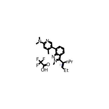 CC/C=C(\CCC)c1c2cccc(-c3cnc(N(C)C)cc3C)c2nn1C.O=C(O)C(F)(F)F